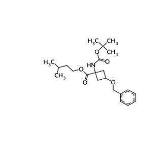 CC(C)CCOC(=O)C1(NC(=O)OC(C)(C)C)CC(OCc2ccccc2)C1